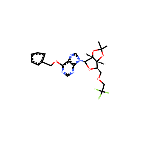 CC1(C)O[C@@H]2[C@H](O1)[C@@H](COCC(F)(F)F)O[C@H]2n1cnc2c(OCc3ccccc3)ncnc21